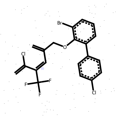 C=C(/C=C(\C(=C)Cl)C(F)(F)F)COc1c(Br)cccc1-c1ccc(Cl)cc1